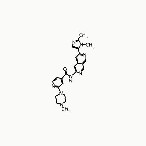 Cc1ncc(-c2cc3cc(NC(=O)c4ccnc(N5CCN(C)CC5)c4)ncc3cn2)n1C